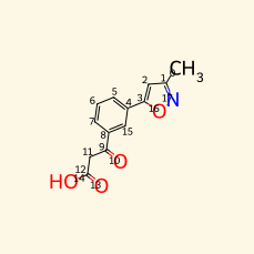 Cc1cc(-c2cccc(C(=O)CC(=O)O)c2)on1